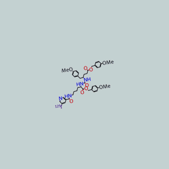 COc1ccc(COC(=O)CCC(Cc2ccc(OC)cc2)NC(=O)NC(CCCCNC(=O)c2cncc([125I])c2)C(=O)OCc2ccc(OC)cc2)cc1